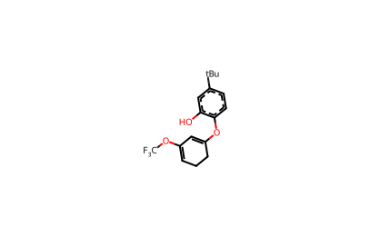 CC(C)(C)c1ccc(OC2=CC(OC(F)(F)F)=CCC2)c(O)c1